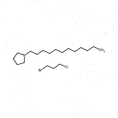 CCCCCCCCCCCCN1CCCC1.ClCCCBr